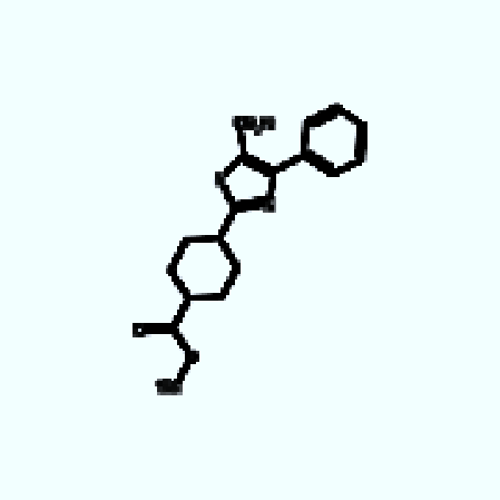 CCOC(=O)c1sc(C2CCC(C(=O)OC(C)(C)C)CC2)nc1-c1ccccc1